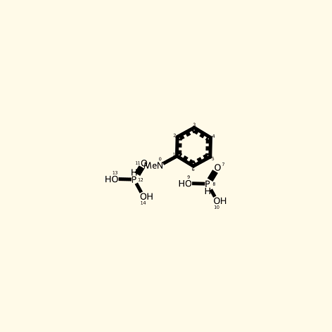 CNc1ccccc1.O=[PH](O)O.O=[PH](O)O